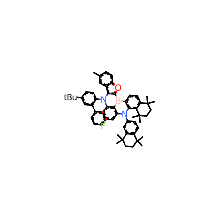 Cc1ccc2oc3c(c2c1)N(c1ccc(C(C)(C)C)cc1-c1ccccc1)c1cc(F)cc2c1B3c1ccc3c(c1N2c1ccc2c(c1)C(C)(C)CCC2(C)C)C(C)(C)CCC3(C)C